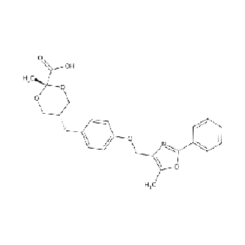 Cc1oc(-c2ccccc2)nc1COc1ccc(C[C@H]2CO[C@@](C)(C(=O)O)OC2)cc1